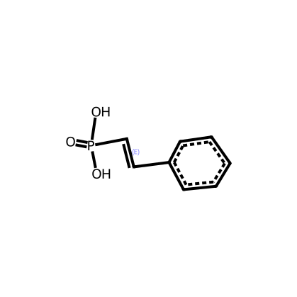 O=P(O)(O)/C=C/c1ccccc1